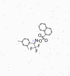 Cc1ccc(/C(=N/OS(=O)(=O)c2cccc3ccccc23)C(F)(F)F)c(C)c1